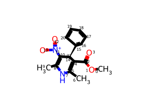 COC(=O)C1=C(C)NC(C)=C([N+](=O)[O-])[C@H]1c1ccccc1